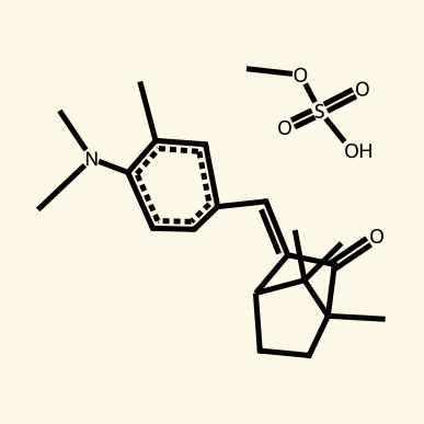 COS(=O)(=O)O.Cc1cc(C=C2C(=O)C3(C)CCC2C3(C)C)ccc1N(C)C